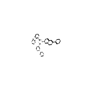 C1=CC(c2nc(-c3ccc4cc(-c5ccccc5)ccc4c3)nc(-c3cccc4oc5ccccc5c34)n2)=CC(c2ccccc2)C1